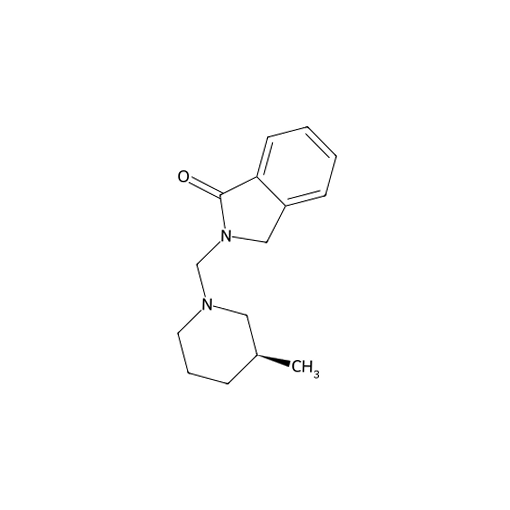 C[C@H]1CCCN(CN2Cc3ccccc3C2=O)C1